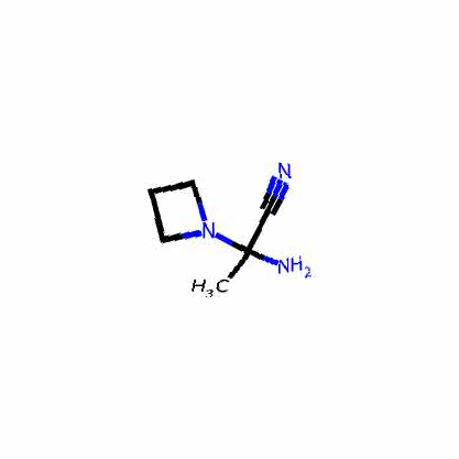 CC(N)(C#N)N1CCC1